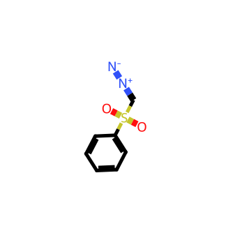 [N-]=[N+]=CS(=O)(=O)c1ccccc1